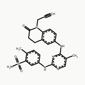 C#CCN1C(=O)CCc2cc(Nc3nc(Nc4ccc(C)c(S(N)(=O)=O)c4)ncc3C)ccc21